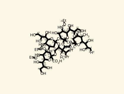 [2H]CC(O)C(O)C1OC(OCC(OC2(C(=O)O)CC(O)C(NOCC)C(C(O)C(O)CO)O2)C(C)(C(COC2(C(=O)O)CC(O)C(NOCC)C(C(O)C(O)CO)O2)OC2(C(=O)O)CC(O)C(NOCC)C(C(O)C(O)CO)O2)C(C(C)C)C(C)C)(C(=O)O)CC(O)C1C